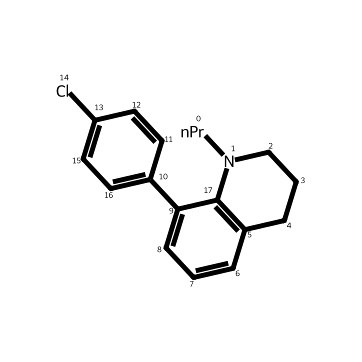 CCCN1CCCc2cccc(-c3ccc(Cl)cc3)c21